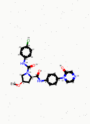 CCO[C@@H]1C[C@H](C(=O)Nc2ccc(-n3ccncc3=O)cc2)N(C(=O)Nc2ccc(Cl)cc2)C1